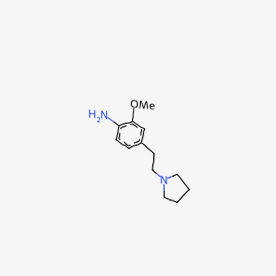 COc1cc(CCN2CCCC2)ccc1N